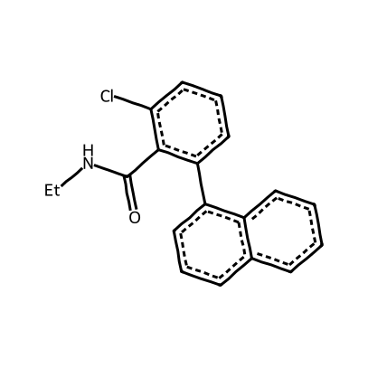 CCNC(=O)c1c(Cl)cccc1-c1cccc2ccccc12